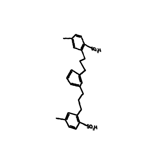 Cc1ccc(S(=O)(=O)O)c(CCCc2cccc(CCCc3cc(C)ccc3S(=O)(=O)O)c2)c1